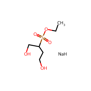 CCOS(=O)(=O)C(CO)CCO.[NaH]